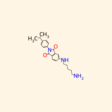 CC(C)c1ccc(N2C(=O)c3ccc(NCCCCCN)cc3C2=O)cc1